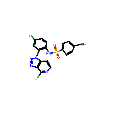 CC(C)(C)c1ccc(S(=O)(=O)Nc2ccc(Cl)cc2-n2nnc3c(Cl)nccc32)cc1